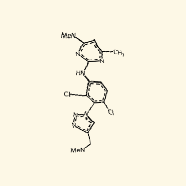 CNCc1cn(-c2c(Cl)ccc(Nc3nc(C)cc(NC)n3)c2Cl)nn1